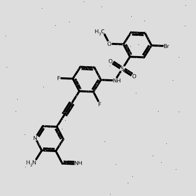 COc1ccc(Br)cc1S(=O)(=O)Nc1ccc(F)c(C#Cc2cnc(N)c(C=N)c2)c1F